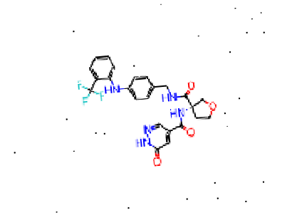 O=C(N[C@@]1(C(=O)NCc2ccc(Nc3ccccc3C(F)(F)F)cc2)CCOC1)c1cn[nH]c(=O)c1